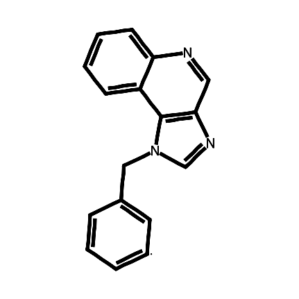 [c]1cccc(Cn2cnc3cnc4ccccc4c32)c1